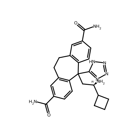 NC(=O)c1ccc2c(c1)CCc1cc(C(N)=O)ccc1C2(C[C@@H](N)C1CCC1)c1nnn[nH]1